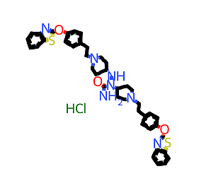 Cl.NC(=O)N(NC1CCN(CCc2ccc(Oc3nc4ccccc4s3)cc2)CC1)C1CCN(CCc2ccc(Oc3nc4ccccc4s3)cc2)CC1